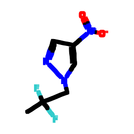 CC(F)(F)Cn1cc([N+](=O)[O-])cn1